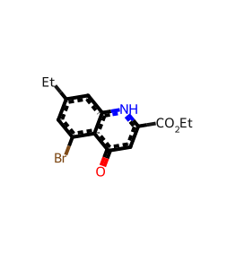 CCOC(=O)c1cc(=O)c2c(Br)cc(CC)cc2[nH]1